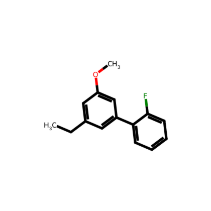 CCc1cc(OC)cc(-c2ccccc2F)c1